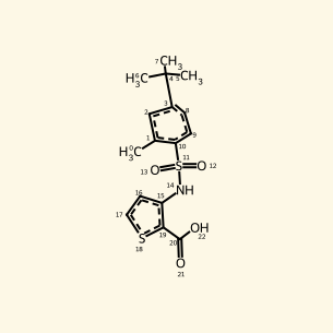 Cc1cc(C(C)(C)C)ccc1S(=O)(=O)Nc1ccsc1C(=O)O